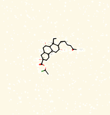 COC(=O)CC[C@@H](C)[C@H]1CC[C@H]2[C@@H]3[C@H](O)C[C@@H]4C[C@@](O)(C(=O)OC(C)Cl)CC[C@]4(C)[C@H]3C[C@H](O)[C@]12C